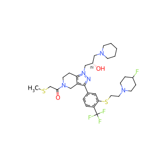 CSCC(=O)N1CCc2c(c(-c3ccc(C(F)(F)F)c(SCCN4CCC(F)CC4)c3)nn2C[C@@H](O)CN2CCCCC2)C1